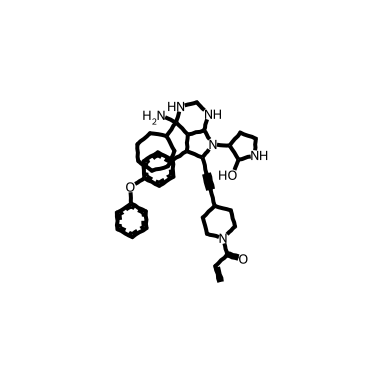 C=CC(=O)N1CCC(C#CC2C(c3ccc(Oc4ccccc4)cc3)C3C(NCNC3(N)C3CCCCCC3)N2C2CCNC2O)CC1